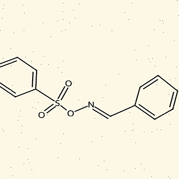 O=S(=O)(ON=Cc1ccccc1)c1ccccc1